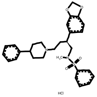 CN(C[C@@H](CCN1CCC(c2ccccc2)CC1)c1ccc2c(c1)OCO2)S(=O)(=O)c1ccccc1.Cl